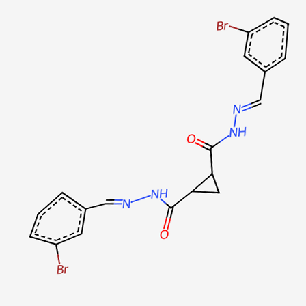 O=C(N/N=C/c1cccc(Br)c1)C1CC1C(=O)N/N=C/c1cccc(Br)c1